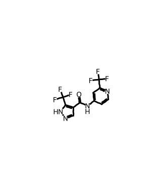 O=C(Nc1ccnc(C(F)(F)F)c1)c1cn[nH]c1C(F)(F)F